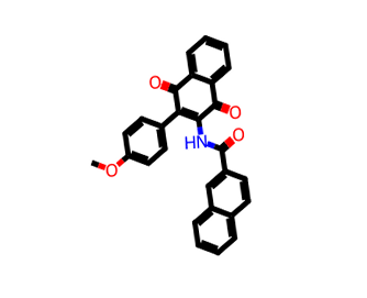 COc1ccc(C2=C(NC(=O)c3ccc4ccccc4c3)C(=O)c3ccccc3C2=O)cc1